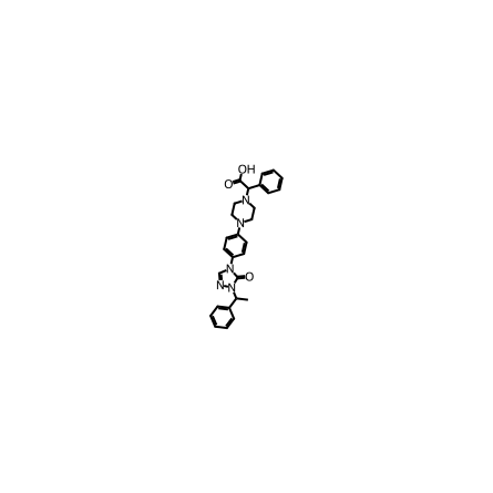 CC(c1ccccc1)n1ncn(-c2ccc(N3CCN(C(C(=O)O)c4ccccc4)CC3)cc2)c1=O